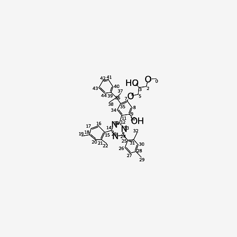 COCC(O)COc1cc(O)c(-c2nc(-c3ccc(C)cc3C)nc(-c3ccc(C)cc3C)n2)cc1C(C)(C)c1ccccc1